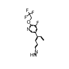 C=C/C(=C\C=C\N=N)c1cnc(OCC(F)(F)F)c(F)c1